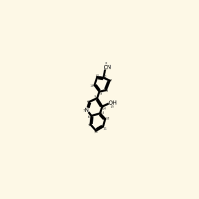 N#Cc1ccc(-c2cnc3ccccc3c2O)cc1